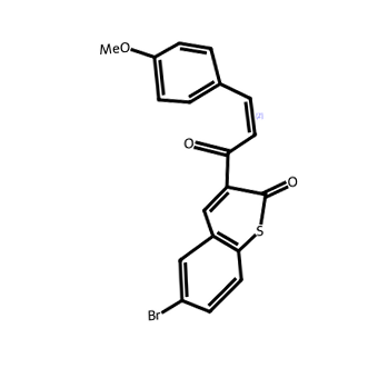 COc1ccc(/C=C\C(=O)c2cc3cc(Br)ccc3sc2=O)cc1